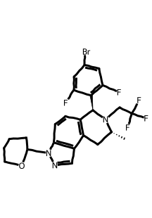 C[C@@H]1Cc2c(ccc3c2cnn3C2CCCCO2)[C@@H](c2c(F)cc(Br)cc2F)N1CC(F)(F)F